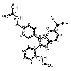 O=CNc1ncccc1-c1nc2ccc(C(F)F)nc2n1-c1ccc(CNC(=O)O)cc1